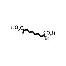 CCC(CCCCCCC(C)C(=O)O)C(=O)O